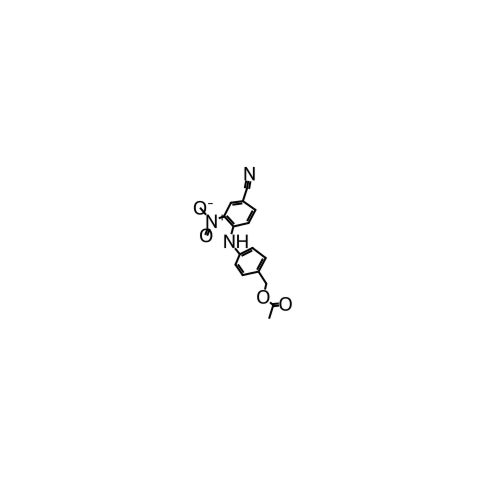 CC(=O)OCc1ccc(Nc2ccc(C#N)cc2[N+](=O)[O-])cc1